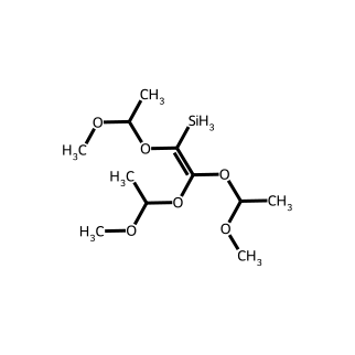 COC(C)OC([SiH3])=C(OC(C)OC)OC(C)OC